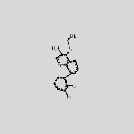 CCOc1c(N)cnc2c(-c3cccc(Cl)c3Cl)cccc12